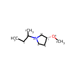 CCC(C)N1CC[C@@H](OC)C1